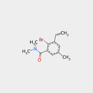 C=Cc1cc(C)cc(C(=O)N(C)C)c1Br